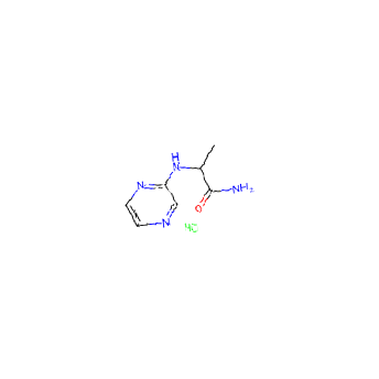 CC(Nc1cnccn1)C(N)=O.Cl